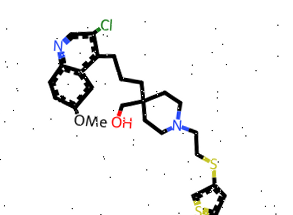 COc1ccc2ncc(Cl)c(CCCC3(CO)CCN(CCSc4ccsc4)CC3)c2c1